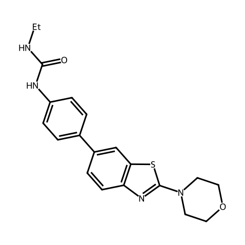 CCNC(=O)Nc1ccc(-c2ccc3nc(N4CCOCC4)sc3c2)cc1